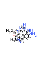 C[C@@H]1CN(C2=CC(C(=N)c3cc(-c4cnn(C)c4)ccc3N)NC=N2)C[C@H](C)O1